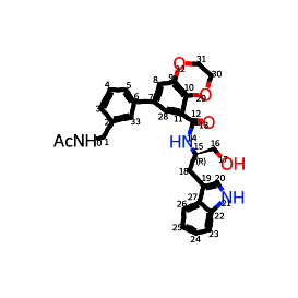 CC(=O)NCc1cccc(-c2cc3c(c(C(=O)N[C@@H](CO)Cc4c[nH]c5ccccc45)c2)OCCO3)c1